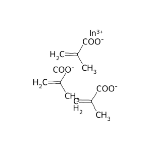 C=C(C)C(=O)[O-].C=C(C)C(=O)[O-].C=C(C)C(=O)[O-].[In+3]